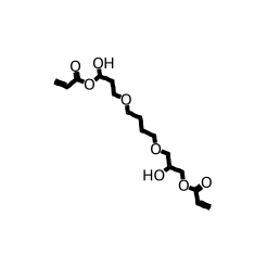 C=CC(=O)OCC(O)COCCCCOCCC(O)OC(=O)C=C